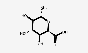 N[C@@H]1O[C@@H](C(=O)O)[C@@H](O)[C@H](O)C1O